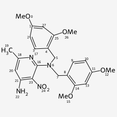 COc1ccc(CN(Cc2ccc(OC)cc2OC)c2nc(C)cc(N)c2[N+](=O)[O-])c(OC)c1